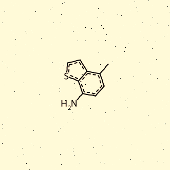 Cc1ccc(N)c2sccc12